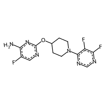 Nc1nc(OC2CCN(c3ncnc(F)c3F)CC2)ncc1F